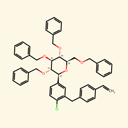 C=Cc1ccc(Cc2cc([C@@H]3O[C@H](COCc4ccccc4)[C@@H](OCc4ccccc4)[C@H](OCc4ccccc4)[C@H]3OCc3ccccc3)ccc2Cl)cc1